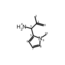 C=C(C)C(N)c1cccn1C